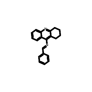 C(=Nc1c2c(nc3ccccc13)CCCC2)c1ccccc1